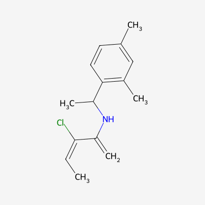 C=C(NC(C)c1ccc(C)cc1C)/C(Cl)=C\C